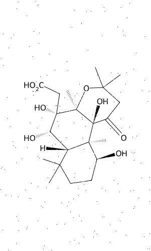 CC1(C)CC(=O)[C@]2(O)[C@@]3(C)[C@@H](O)CCC(C)(C)[C@@H]3[C@H](O)[C@@](O)(CC(=O)O)[C@@]2(C)O1